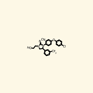 N#CN=C1N(CCO)CC(c2cccc(C(F)(F)F)c2)N1c1ccc(Oc2ccc(Cl)cc2)cc1